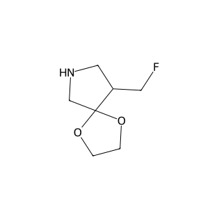 FCC1CNCC12OCCO2